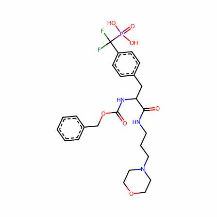 O=C(NC(Cc1ccc(C(F)(F)P(=O)(O)O)cc1)C(=O)NCCCN1CCOCC1)OCc1ccccc1